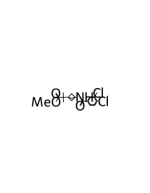 COC(=O)C(C)(C)C12CC(NC(=O)c3ccc(Cl)c(Cl)c3)(C1)C2